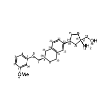 COc1cccc(SC[C@@H]2CCc3cc([C@H]4CC[C@](N)(CO)C4)ccc3C2)c1